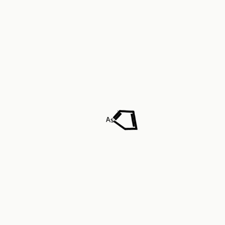 [C]1=[As]CC=C1